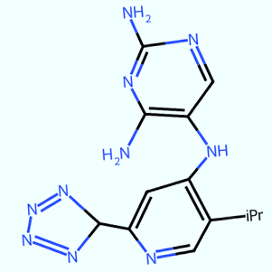 CC(C)c1cnc(C2N=NN=N2)cc1Nc1cnc(N)nc1N